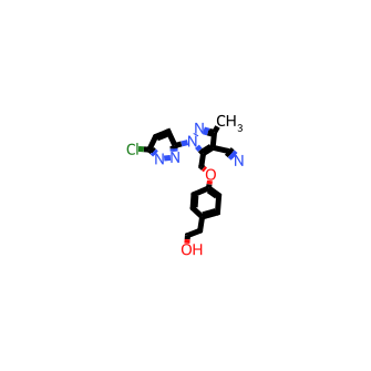 Cc1nn(-c2ccc(Cl)nn2)c(COc2ccc(CCO)cc2)c1C#N